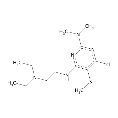 CCN(CC)CCNc1nc(N(C)C)nc(Cl)c1SC